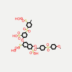 COc1ccc(S(=O)(=O)c2ccc(COc3cc4cc(Oc5ccc(S(=O)(=O)c6ccc(C)c(SOOO)c6)cc5S(=O)(=O)O)c(SOOO)cc4cc3S(=O)(=O)O)cc2)cc1